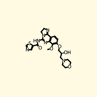 COc1c(OC[C@@H](O)CN2CCOCC2)ccc2c1N=C(NC(=O)c1cncs1)N1CCN=C21